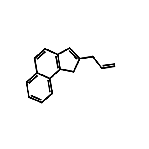 C=CCC1=Cc2ccc3ccccc3c2C1